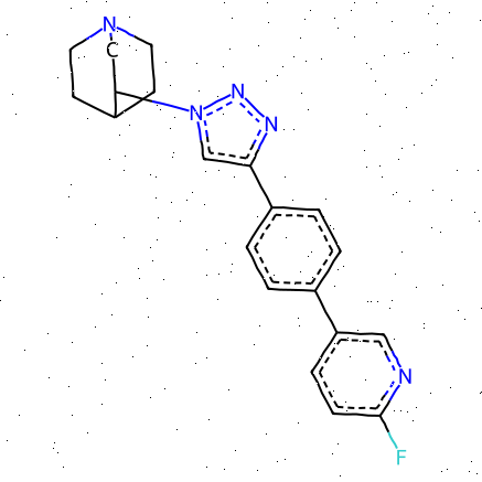 Fc1ccc(-c2ccc(-c3cn(C4CN5CCC4CC5)nn3)cc2)cn1